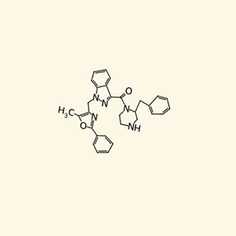 Cc1oc(-c2ccccc2)nc1Cn1nc(C(=O)N2CCNCC2Cc2ccccc2)c2ccccc21